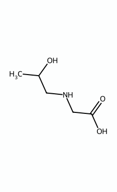 CC(O)CNCC(=O)O